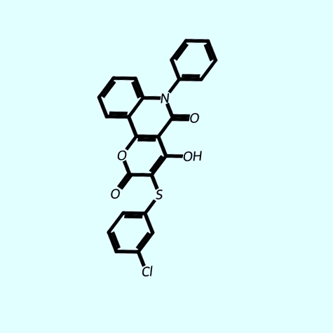 O=c1oc2c(c(O)c1Sc1cccc(Cl)c1)c(=O)n(-c1ccccc1)c1ccccc21